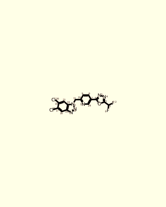 FC(F)c1nnc(-c2ccc(Cn3nnc4cc(Cl)c(Cl)cc43)nc2)o1